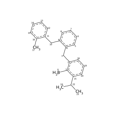 Bc1c(Cc2ccccc2Cc2ccccc2C)cccc1C(C)C